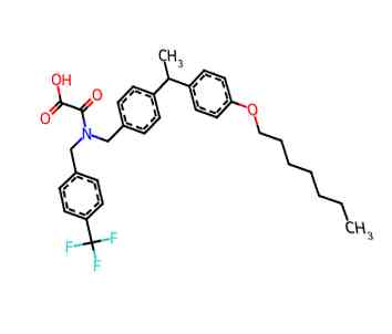 CCCCCCCOc1ccc(C(C)c2ccc(CN(Cc3ccc(C(F)(F)F)cc3)C(=O)C(=O)O)cc2)cc1